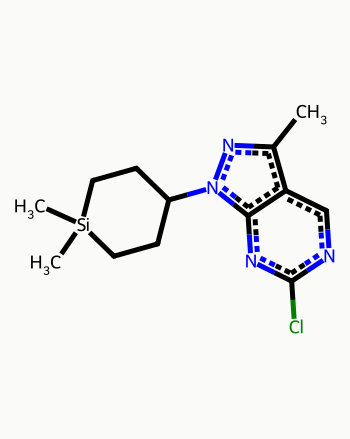 Cc1nn(C2CC[Si](C)(C)CC2)c2nc(Cl)ncc12